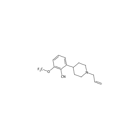 C=CCN1CCC(c2cccc(OC(F)(F)F)c2C#N)CC1